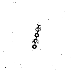 Cc1cc(-c2ccc(-c3cnc(C(C)C)cn3)cc2)cnc1-c1ccccc1